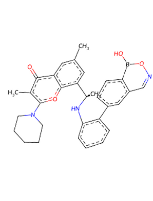 Cc1cc([C@@H](C)Nc2ccccc2-c2ccc3c(c2)C=NOB3O)c2oc(N3CCCCC3)c(C)c(=O)c2c1